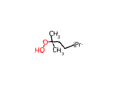 C[C](C)CCC(C)(C)OO